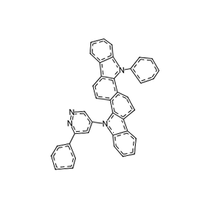 c1ccc(-c2cc(-n3c4ccccc4c4ccc5c(ccc6c7ccccc7n(-c7ccccc7)c65)c43)cnn2)cc1